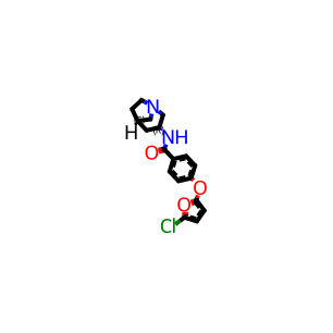 O=C(N[C@@H]1C[C@@H]2CCN(C2)C1)c1ccc(Oc2ccc(Cl)o2)cc1